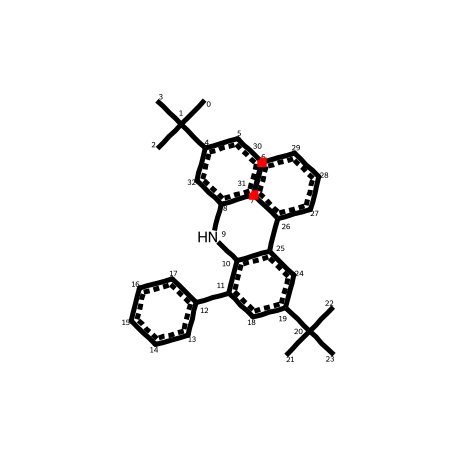 CC(C)(C)c1cccc(Nc2c(-c3ccccc3)cc(C(C)(C)C)cc2-c2ccccc2)c1